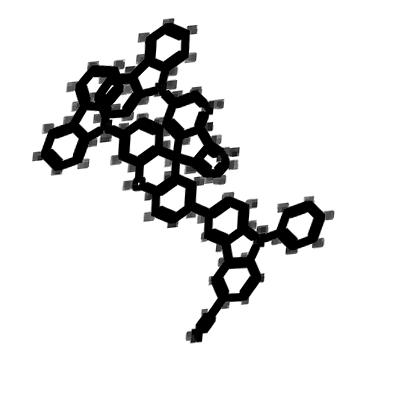 N#Cc1ccc2c(c1)c1cc(-c3ccc4c(c3)C3(c5ccc(-n6c7ccccc7c7ccccc76)cc5O4)c4cccnc4-c4ncc(-n5c6ccccc6c6ccccc65)cc43)ccc1n2-c1ccccc1